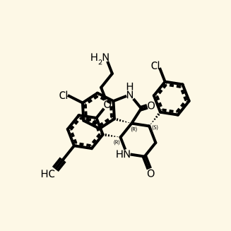 C#Cc1ccc(OCCN)c([C@H]2NC(=O)C[C@@H](c3cccc(Cl)c3)[C@]23C(=O)Nc2cc(Cl)ccc23)c1